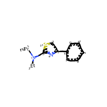 CCCN(CC)c1nc(-c2ccccc2)cs1